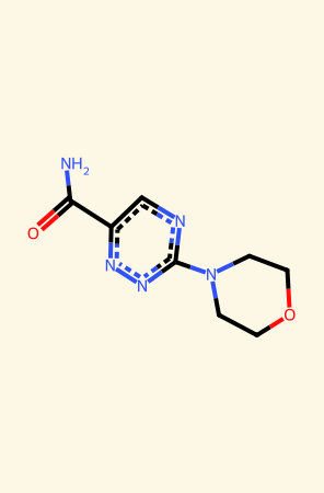 NC(=O)c1cnc(N2CCOCC2)nn1